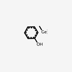 Oc1ccccc1.[CH3][Ge]